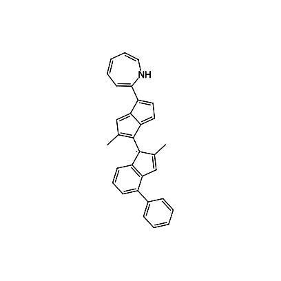 CC1=Cc2c(cccc2-c2ccccc2)[C]1C1=C(C)C=C2C(C3=CC=CC=CN3)=CC=C21